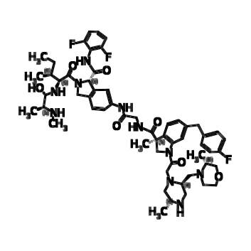 CC[C@H](C)[C@H](NC(O)[C@H](C)NC)C(=O)N1Cc2ccc(NC(=O)CNC(=O)[C@]3(C)CN(C(=O)CN4C[C@@H](C)NC[C@@H]4CN4CCOC[C@H]4C)c4cc(Cc5ccc(F)cc5)ccc43)cc2[C@H]1C(=O)Nc1c(F)cccc1F